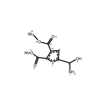 COC(=O)c1sc(C(N)O)cc1C(=O)OC(C)(C)C